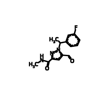 CNC(=O)c1cc(C=O)n(C(C)c2cccc(F)c2)n1